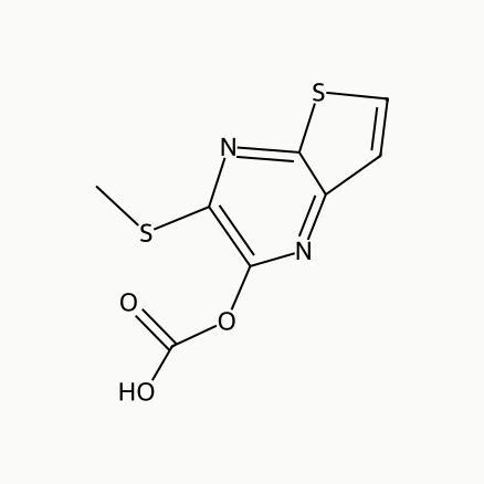 CSc1nc2sccc2nc1OC(=O)O